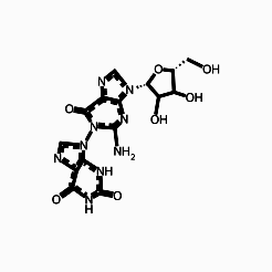 Nc1nc2c(ncn2[C@@H]2O[C@H](CO)C(O)C2O)c(=O)n1-n1cnc2c(=O)[nH]c(=O)[nH]c21